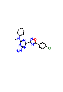 CN(c1ccccc1)c1nc(N)nc(-c2noc(-c3ccc(Cl)cc3)n2)n1